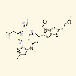 C=C(C)CC(/C=C/c1sc(C)cc1N(C)C(=C)C/C=C\Cc1cc2sc(CCOC)cc2n1C=O)=C\C=C\C